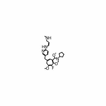 CNC/C=C\Nc1ccc(CC2=CC3=C(OCN(C4CCCC4)C3OC)C(F)=C(OC)C2)cn1